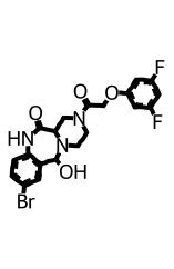 O=C1Nc2ccc(Br)cc2C(O)N2CCN(C(=O)COc3cc(F)cc(F)c3)CC12